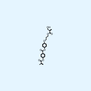 C=C(C)C(=O)Oc1ccc(C(=O)Oc2ccc(OCCCOC(=O)C(=C)CO)cc2)cc1